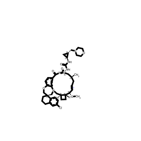 CO[C@H]1/C=C/C[C@H](C)C[S@@](=O)(NC(=O)N[C@H]2C[C@@H]2CN2CCOCC2)=NC(=O)c2ccc3c(c2)N(C[C@@H]2CC[C@H]21)C[C@@]1(CCCc2cc(Cl)ccc21)CO3